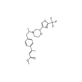 COC(=O)/C=C(\C)c1ccc(CC(C)N2CCOC(c3csc(C(F)(F)F)n3)C2)cc1